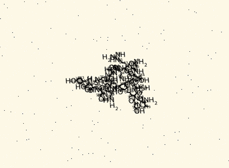 CC[C@H](C)[C@H](NC(=O)[C@@H]1C[C@@H](O)CN1C(=O)[C@@H](N)C(C)C)C(=O)N[C@H](C(=O)N[C@@H](Cc1ccc(O)cc1)C(=O)N[C@H](C(=O)N[C@@H](CC(N)=O)C(=O)N[C@@H](CCCNC(=N)N)C(=O)N[C@@H](CCN)C(=O)N[C@H](C(=O)N[C@H](CCN)C(=O)N[C@@H](CCN)C(=O)N[C@@H](CCN)C(=O)N[C@H](C(=O)N[C@@H](CS)C(=O)N[C@@H](Cc1ccc(O)cc1)C(=O)O)[C@@H](C)O)[C@@H](C)O)[C@@H](C)O)C(C)(C)S